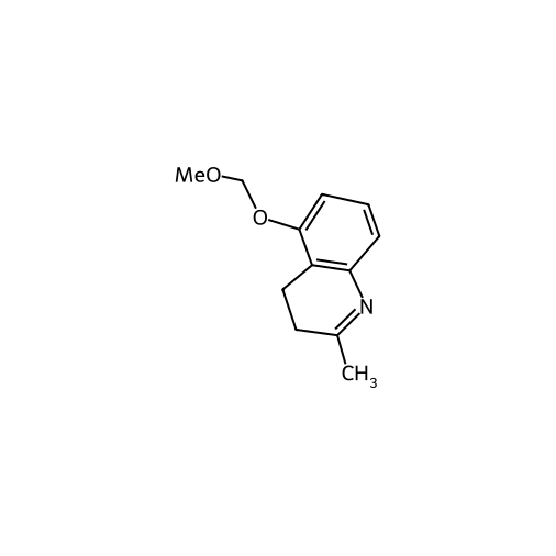 COCOc1cccc2c1CCC(C)=N2